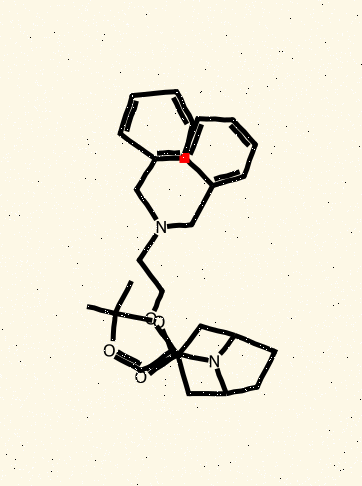 CC(C)(C)OC(=O)N1C2CCC1CC(C=O)(OCCN(Cc1ccccc1)Cc1ccccc1)C2